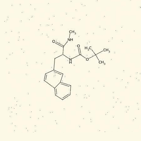 CNC(=O)C(Cc1ccc2ccccc2c1)NC(=O)OC(C)(C)C